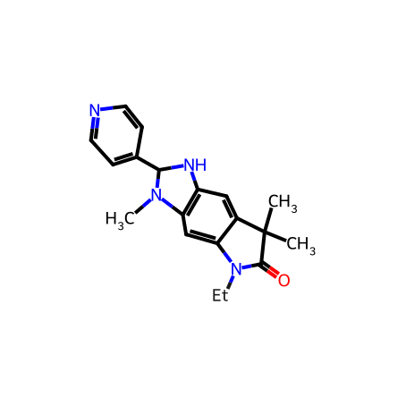 CCN1C(=O)C(C)(C)c2cc3c(cc21)N(C)C(c1ccncc1)N3